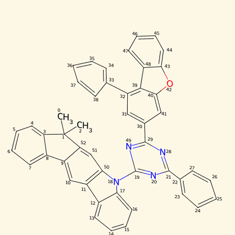 CC1(C)c2ccccc2-c2cc3c4ccccc4n(-c4nc(-c5ccccc5)nc(-c5cc(-c6ccccc6)c6c(c5)oc5ccccc56)n4)c3cc21